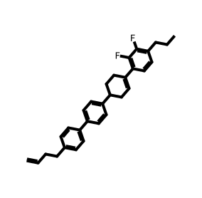 C=CCCc1ccc(-c2ccc(C3CC=C(c4ccc(CCC)c(F)c4F)CC3)cc2)cc1